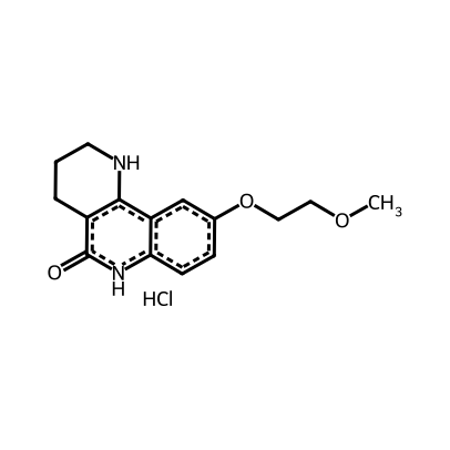 COCCOc1ccc2[nH]c(=O)c3c(c2c1)NCCC3.Cl